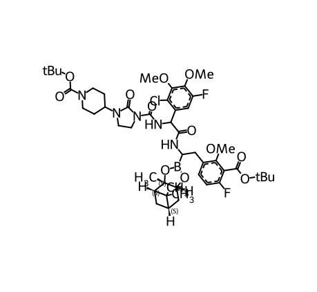 COc1c(F)cc(C(NC(=O)N2CCN(C3CCN(C(=O)OC(C)(C)C)CC3)C2=O)C(=O)NC(Cc2ccc(F)c(C(=O)OC(C)(C)C)c2OC)B2O[C@@H]3C[C@@H]4C[C@@H](C4(C)C)[C@]3(C)O2)c(Cl)c1OC